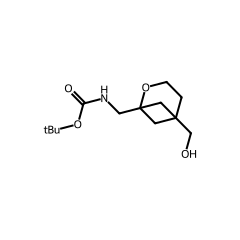 CC(C)(C)OC(=O)NCC12CC(CO)(CCO1)C2